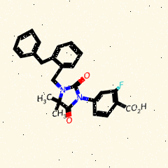 CC1(C)C(=O)N(c2ccc(C(=O)O)c(F)c2)C(=O)N1Cc1ccccc1Cc1ccccc1